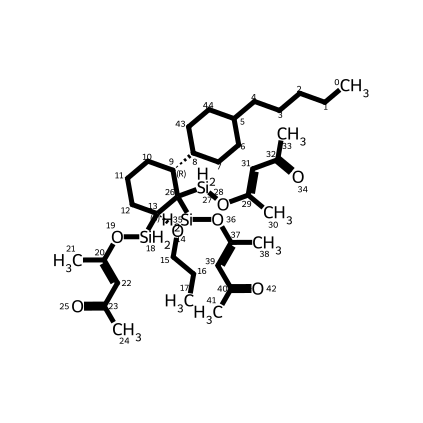 CCCCCC1CCC([C@H]2CCC[C@](OCCC)([SiH2]OC(C)=CC(C)=O)C2([SiH2]OC(C)=CC(C)=O)[SiH2]OC(C)=CC(C)=O)CC1